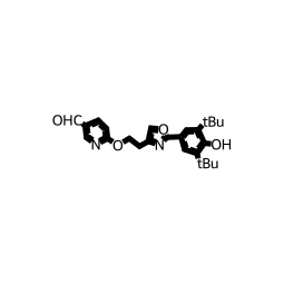 CC(C)(C)c1cc(-c2nc(CCOc3ccc(C=O)cn3)co2)cc(C(C)(C)C)c1O